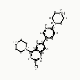 Clc1nc(N2CCOCC2)c2sc(-c3ccc(N4CCNCC4)nc3)cc2n1